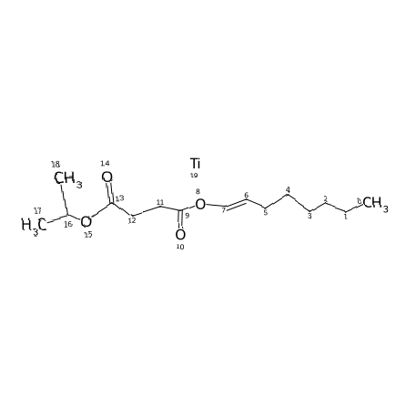 CCCCCCC=COC(=O)CCC(=O)OC(C)C.[Ti]